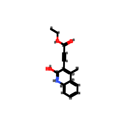 CCOC(=O)C#Cc1c(O)nc2ccccc2c1C